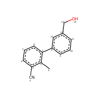 Cc1c(C#N)cccc1-c1cccc(CO)c1